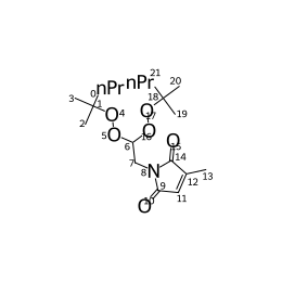 CCCC(C)(C)OOC(CN1C(=O)C=C(C)C1=O)OOC(C)(C)CCC